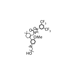 COc1ccc(N(C)CC(C)(C)O)cc1C1=C(CN2C(=O)O[C@H](c3cc(C(F)(F)F)cc(C(F)(F)F)c3)[C@@H]2C)CC(C)(C)CC1